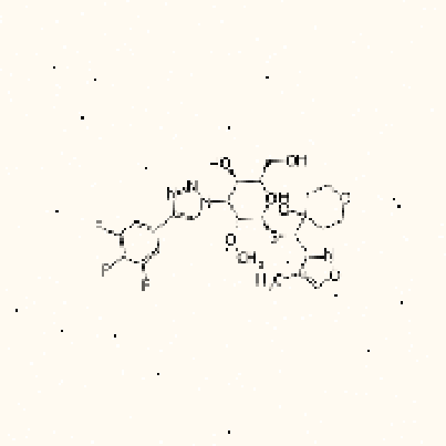 CO[C@@H]1[C@@H](n2cc(-c3cc(F)c(F)c(F)c3)nn2)[C@@H](O)[C@@H](CO)O[C@H]1S[C@H](c1nocc1C)C1(O)CCOCC1